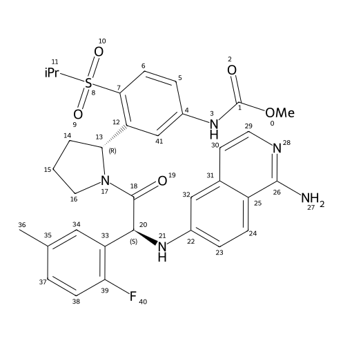 COC(=O)Nc1ccc(S(=O)(=O)C(C)C)c([C@H]2CCCN2C(=O)[C@@H](Nc2ccc3c(N)nccc3c2)c2cc(C)ccc2F)c1